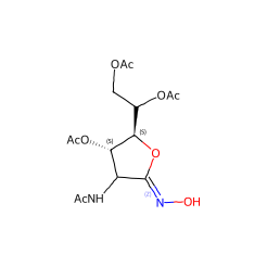 CC(=O)NC1/C(=N/O)O[C@H](C(COC(C)=O)OC(C)=O)[C@H]1OC(C)=O